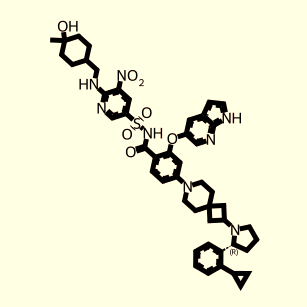 CC1(O)CCC(CNc2ncc(S(=O)(=O)NC(=O)c3ccc(N4CCC5(CC4)CC(N4CCC[C@@H]4c4ccccc4C4CC4)C5)cc3Oc3cnc4[nH]ccc4c3)cc2[N+](=O)[O-])CC1